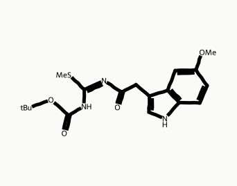 COc1ccc2[nH]cc(CC(=O)N=C(NC(=O)OC(C)(C)C)SC)c2c1